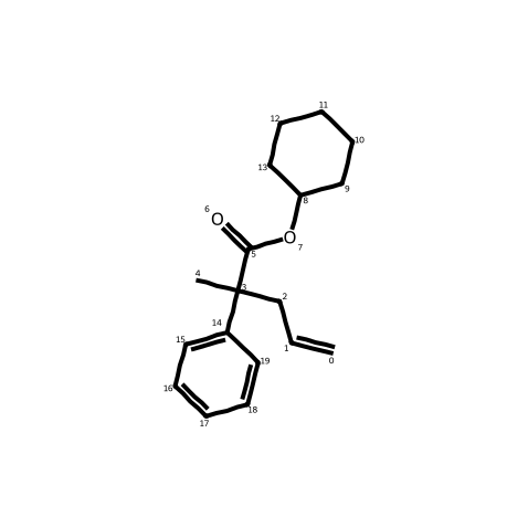 C=CCC(C)(C(=O)OC1CCCCC1)c1ccccc1